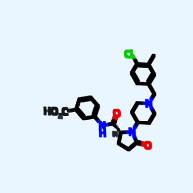 Cc1cc(CN2CCC(N3C(=O)CC[C@@H]3C(=O)Nc3cccc(C(=O)O)c3)CC2)ccc1Cl